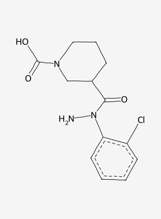 NN(C(=O)C1CCCN(C(=O)O)C1)c1ccccc1Cl